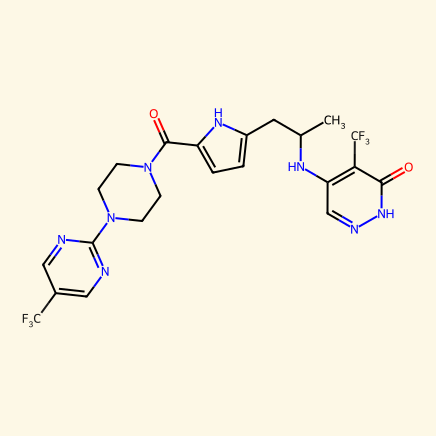 CC(Cc1ccc(C(=O)N2CCN(c3ncc(C(F)(F)F)cn3)CC2)[nH]1)Nc1cn[nH]c(=O)c1C(F)(F)F